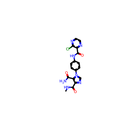 CNC(=O)c1ncn(-c2ccc(NC(=O)c3nccnc3Cl)cc2)c1C(N)=O